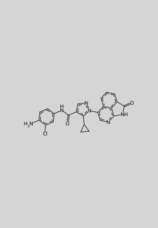 Nc1ccc(NC(=O)c2cnn(-c3cnc4c5c(cccc35)C(=O)N4)c2C2CC2)cc1Cl